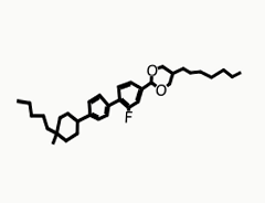 CCCCCCCC1COC(c2ccc(-c3ccc(C4CCC(C)(CCCCC)CC4)cc3)c(F)c2)OC1